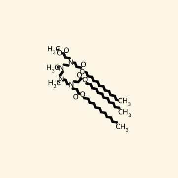 CCCCCCCCCCCCCOC(=O)CCN(CCC(=O)OC)CCN(C)CCN(C)CCN(CCC(=O)OCCCCCCCCCCCCC)CCC(=O)OCCCCCCCCCCCCC